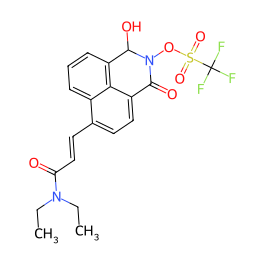 CCN(CC)C(=O)/C=C/c1ccc2c3c(cccc13)C(O)N(OS(=O)(=O)C(F)(F)F)C2=O